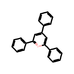 b1c(-c2ccccc2)cc(-c2ccccc2)cc1-c1ccccc1